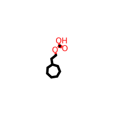 O=C(O)OCCC1CCCCCC1